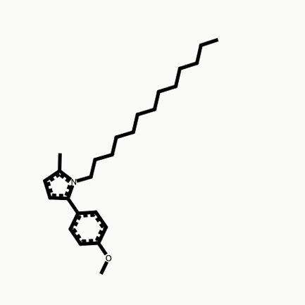 CCCCCCCCCCCCCn1c(C)ccc1-c1ccc(OC)cc1